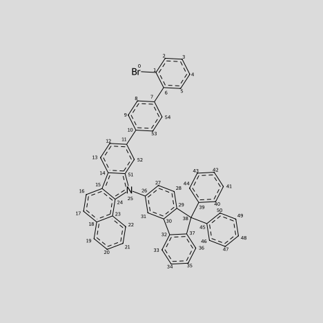 Brc1ccccc1-c1ccc(-c2ccc3c4ccc5ccccc5c4n(-c4ccc5c(c4)-c4ccccc4C5(c4ccccc4)c4ccccc4)c3c2)cc1